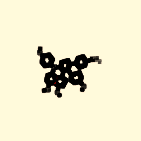 COc1ccc(-c2c(-c3ccc(N)cc3)ccc(N(c3ccc(OC)cc3)c3ccc(OC)cc3)c2-c2ccc(OC)cc2)cc1